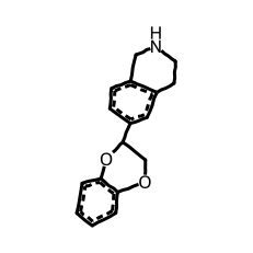 c1ccc2c(c1)OCC(c1ccc3c(c1)CCNC3)O2